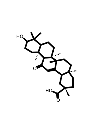 CC1(C)C(O)CC[C@@]2(C)C1CC[C@]1(C)C2C(=O)C=C2C3C[C@@](C)(C(=O)O)CC[C@]3(C)CCC21C